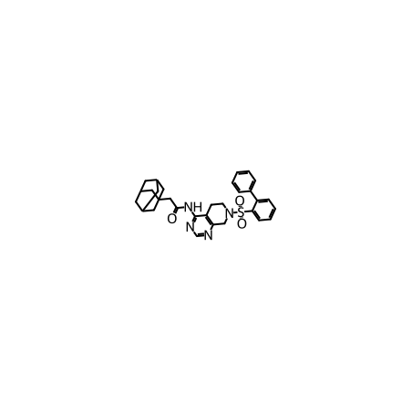 O=C(CC12CC3CC(CC(C3)C1)C2)Nc1ncnc2c1CCN(S(=O)(=O)c1ccccc1-c1ccccc1)C2